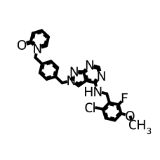 COc1ccc(Cl)c(CNc2ncnc3nn(Cc4ccc(Cn5ccccc5=O)cc4)cc23)c1F